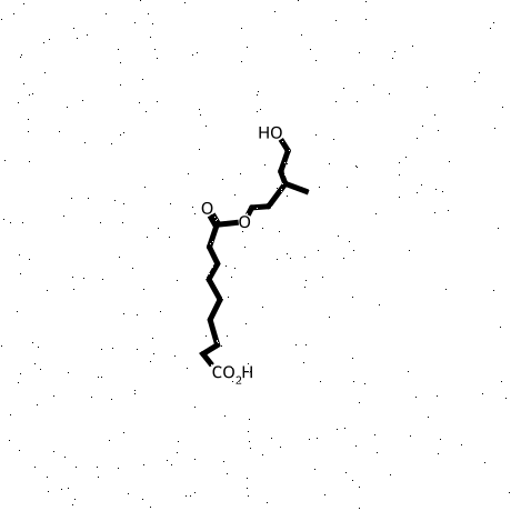 CC(CCO)CCOC(=O)CCCCCCCC(=O)O